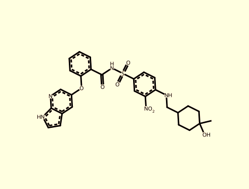 CC1(O)CCC(CNc2ccc(S(=O)(=O)NC(=O)c3ccccc3Oc3cnc4[nH]ccc4c3)cc2[N+](=O)[O-])CC1